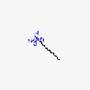 CCCCCCC=CCCCCCCNC(=N)NC#N